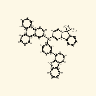 CC1(C)c2ccccc2C2C=C(N(c3cccc(-c4cccc5c4oc4ccccc45)c3)c3ccc4c5ccccc5c5ccccc5c4c3)C=CC21